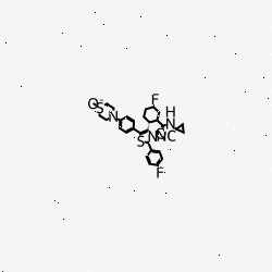 N#CC1(NC(=O)C2C[C@@H](F)CC[C@H]2c2nc(-c3ccc(F)cc3)sc2-c2ccc(N3CC[S+]([O-])CC3)cc2)CC1